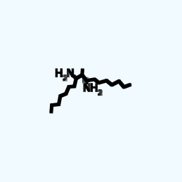 CCCCCCCC(N)C(C)[C@@H](N)CCCCCCC